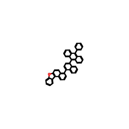 c1ccc(-c2c3ccccc3c(-c3ccc(-c4cccc5c4ccc4oc6ccccc6c45)c4ccccc34)c3ccccc23)cc1